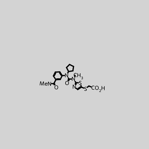 CNC(=O)c1cccc(N(C(=O)N(C)c2ncc(SCC(=O)O)s2)C2CCCC2)c1